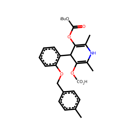 CC1=C(OC(=O)O)C(c2ccccc2OCc2ccc(C)cc2)C(OC(=O)OCC(C)C)=C(C)N1